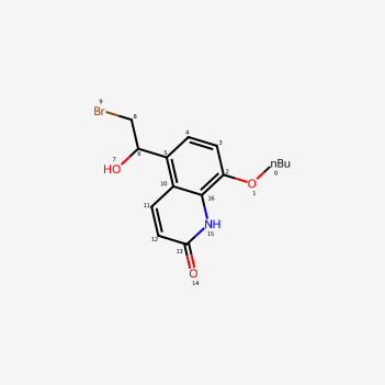 CCCCOc1ccc(C(O)CBr)c2ccc(=O)[nH]c12